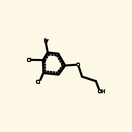 OCCOc1cc(Cl)c(Cl)c(Br)c1